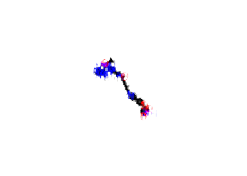 CC(C)(C)n1nc(-c2noc(C3CC3)c2-c2ncc(C3CN(C(=O)CCCCCCCN4CCC(c5ccc(OC6CCC(=O)NC6=O)cc5)CC4)C3)cn2)c2c(N)ncnc21